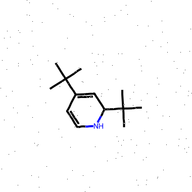 CC(C)(C)C1=CC(C(C)(C)C)N[C]=C1